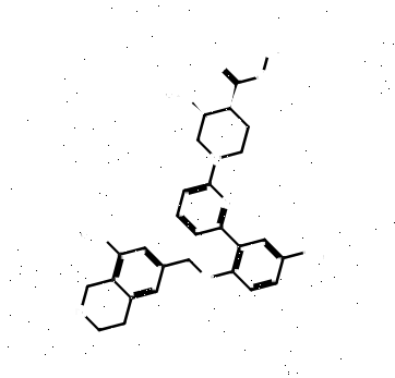 COc1cc(COc2ccc(C)cc2-c2cccc(N3CC[C@H](C(=O)OC(C)(C)C)[C@H](OC)C3)n2)cc2c1CNCC2